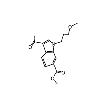 COCCCn1cc(C(C)=O)c2ccc(C(=O)OC)cc21